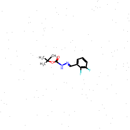 CC(C)(C)OC(=O)NN=Cc1cccc(F)c1F